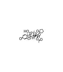 CC(=O)OCC(=O)[C@@]12OC3(CCCC3)O[C@H]1C[C@H]1[C@@H]3CCC4=CC(=O)C=C[C@]4(C)[C@]3(F)[C@@H](O)C[C@@]12C